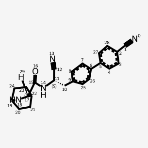 N#Cc1ccc(-c2ccc(C[C@@H](C#N)NC(=O)[C@H]3NC4CCC3CC4)cc2)cc1